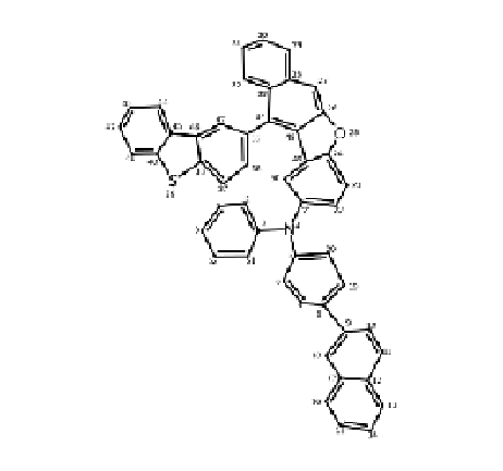 c1ccc(N(c2ccc(-c3ccc4ccccc4c3)cc2)c2ccc3oc4cc5ccccc5c(-c5ccc6sc7ccccc7c6c5)c4c3c2)cc1